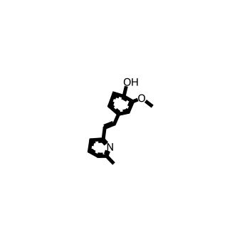 COc1cc(C=Cc2cccc(C)n2)ccc1O